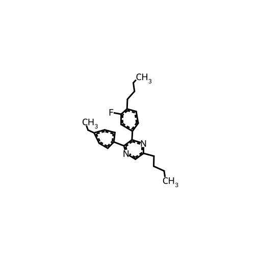 CCCCc1cnc(-c2ccc(CC)cc2)c(-c2ccc(CCCC)c(F)c2)n1